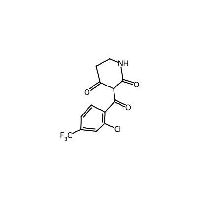 O=C1CCNC(=O)C1C(=O)c1ccc(C(F)(F)F)cc1Cl